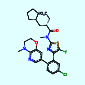 CN1CCOc2cc(-c3ccc(Cl)cc3-c3nc(N(C)C(=O)[C@@H](CC(=O)O)CC4CCCC4)sc3F)cnc21